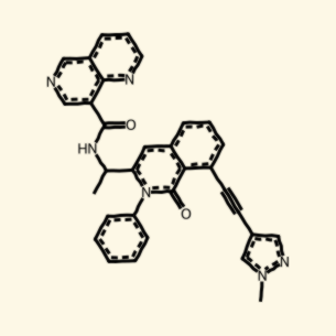 CC(NC(=O)c1cncc2cccnc12)c1cc2cccc(C#Cc3cnn(C)c3)c2c(=O)n1-c1ccccc1